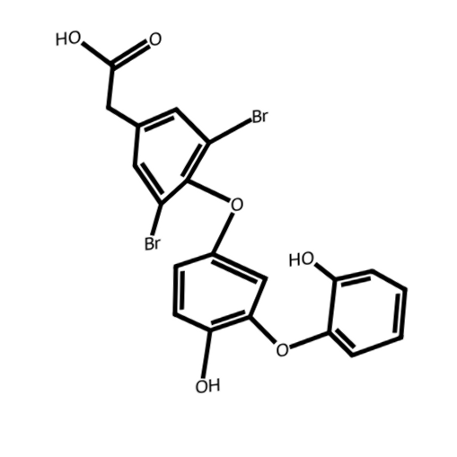 O=C(O)Cc1cc(Br)c(Oc2ccc(O)c(Oc3ccccc3O)c2)c(Br)c1